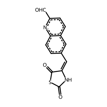 O=Cc1ccc2cc(C=C3NC(=O)SC3=O)ccc2n1